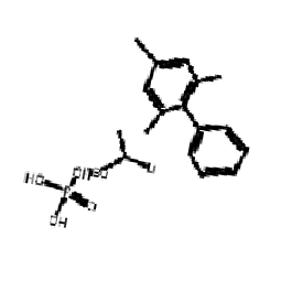 Cc1cc(C)c(-c2ccccc2)c(C)c1.O=P(O)(O)O.[Li][CH](C)CCCC